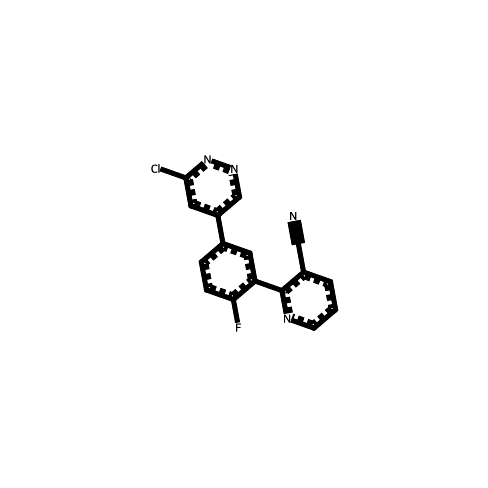 N#Cc1cccnc1-c1cc(-c2cnnc(Cl)c2)ccc1F